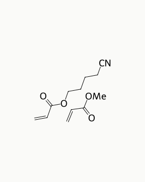 C=CC(=O)OC.C=CC(=O)OCCCCC#N